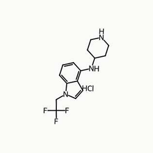 Cl.FC(F)(F)Cn1ccc2c(NC3CCNCC3)cccc21